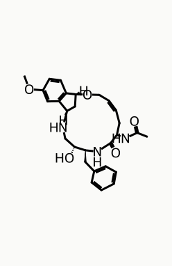 COc1ccc2c(c1)[C@@H]1C[C@H]2OCC=CCC(NC(C)=O)C(=O)N[C@@H](Cc2ccccc2)[C@H](O)CN1